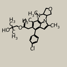 Cc1c(CC(=O)OCC(C)(C)O)c(-c2ccc(Cl)cc2)c2cc(C)n3c2c1N(C)C1COCC13